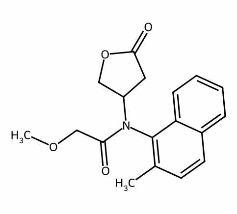 COCC(=O)N(c1c(C)ccc2ccccc12)C1COC(=O)C1